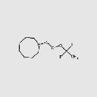 CC(F)(F)OOSN1CCCCCCC1